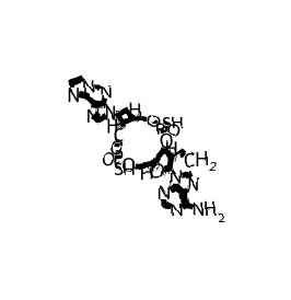 C=C[C@@H]1[C@@H]2OP(=O)(S)OC[C@H]3C[C@@H](n4cnc5c4ncn4ccnc54)[C@@H]3COP(=O)(S)OC[C@H]2O[C@H]1n1cnc2c(N)ncnc21